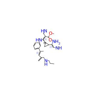 C=C(/C=C(\C)c1cccc(N/C(=C(\C=N)C(=O)OC)[C@@H]2CC2/C(N)=C/NC)c1)CNCCC